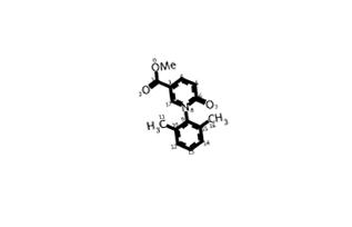 COC(=O)c1ccc(=O)n(-c2c(C)cccc2C)c1